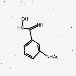 CC(=O)Nc1cccc(C(=N)NO)c1